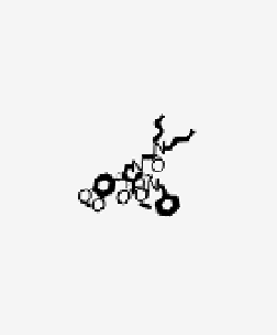 CCCCN(CCCC)C(=O)CN1C[C@H](c2ccc3c(c2)OCO3)[C@H](C(=O)OCC)[C@H]1CNCc1ccccc1